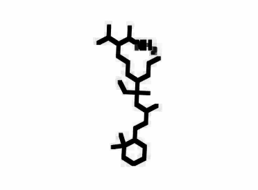 CCCC(CCCC(C(C)C)C(C)N)C(C)(CC)CC(C)CCC1CCCCC1(C)C